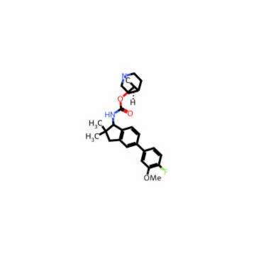 COc1cc(-c2ccc3c(c2)CC(C)(C)C3NC(=O)O[C@H]2CN3CCC2CC3)ccc1F